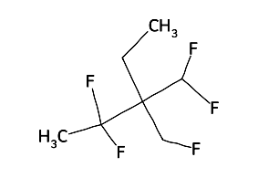 CCC(CF)(C(F)F)C(C)(F)F